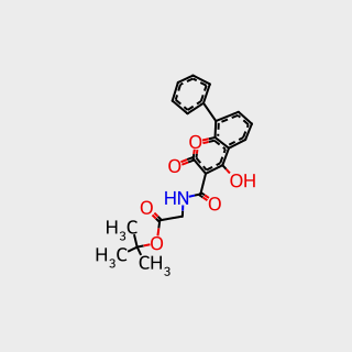 CC(C)(C)OC(=O)CNC(=O)c1c(O)c2cccc(-c3ccccc3)c2oc1=O